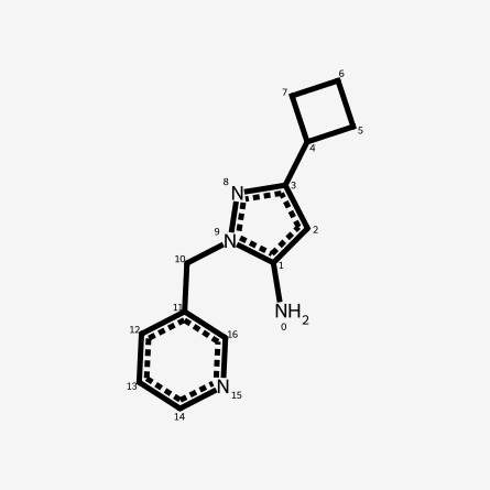 Nc1cc(C2CCC2)nn1Cc1cccnc1